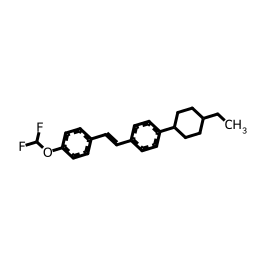 CCC1CCC(c2ccc(C=Cc3ccc(OC(F)F)cc3)cc2)CC1